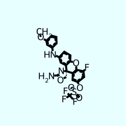 COc1cccc(Nc2ccc3c(c2)[C@@]2(COC(N)=N2)c2cc(OS(=O)(=O)C(F)(F)F)cc(F)c2O3)c1